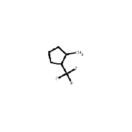 CC1CCCC1C(F)(F)F